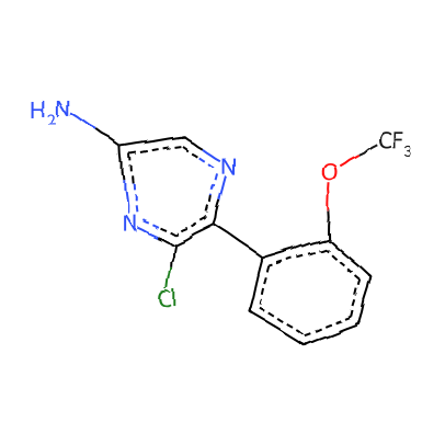 Nc1cnc(-c2ccccc2OC(F)(F)F)c(Cl)n1